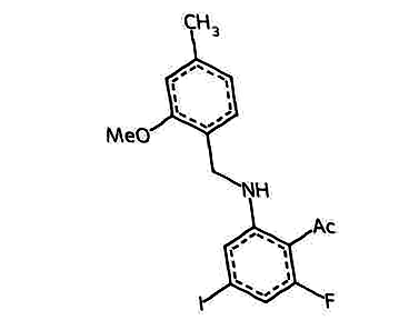 COc1cc(C)ccc1CNc1cc(I)cc(F)c1C(C)=O